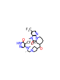 C[C@@H](CN1CCC(C(=O)C2CCCCN3c4ncc(C(F)(F)F)cc4N(C)C(=O)[C@@H]3C2)CC1)N(C)c1cn[nH]c(=O)c1C(F)(F)F